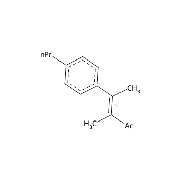 CCCc1ccc(/C(C)=C(\C)C(C)=O)cc1